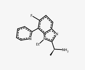 CCn1c([C@H](C)N)nc2ccc(F)c(-c3ccccn3)c21